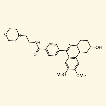 COc1cc2c(cc1OC)C1CC(O)CCC1N=C2c1ccc(C(=O)NCCN2CCOCC2)cc1